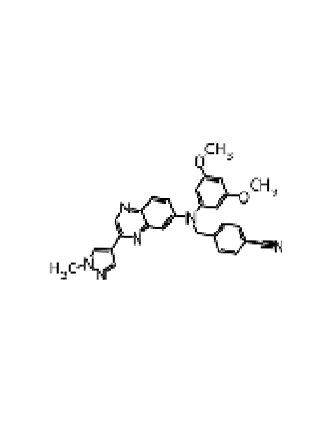 COc1cc(OC)cc(N(Cc2ccc(C#N)cc2)c2ccc3ncc(-c4cnn(C)c4)nc3c2)c1